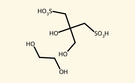 O=S(=O)(O)CC(O)(CO)CS(=O)(=O)O.OCCO